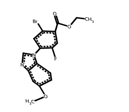 CCOC(=O)c1cc(F)c(-n2cnc3cc(OC)ccc32)cc1Br